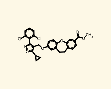 COC(=O)c1ccc2c(c1)Oc1ccc(OCc3c(-c4c(Cl)cccc4Cl)noc3C3CC3)cc1CC2